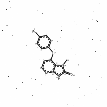 CC(C)c1ccc(Oc2ccnc3[nH]c(=O)n(C)c23)cc1